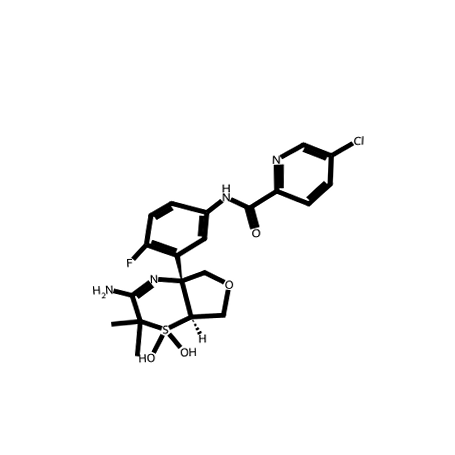 CC1(C)C(N)=N[C@]2(c3cc(NC(=O)c4ccc(Cl)cn4)ccc3F)COC[C@H]2S1(O)O